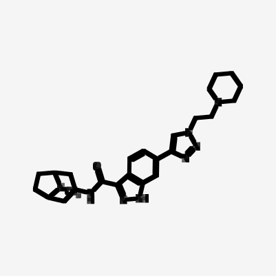 CN1C2CCC1CC(NC(=O)c1n[nH]c3cc(-c4cn(CCN5CCCCC5)nn4)ccc13)C2